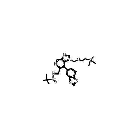 CC(C)(C)[S+]([O-])N=Cc1ncc2ncn(COCC[Si](C)(C)C)c2c1-c1ccc2scnc2c1